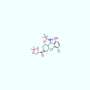 CC1(C)OC[C@H](C(=O)N2CCC([C@@H](N[S+]([O-])C(C)(C)C)c3c(O)ccc(Cl)c3Cl)CC2)O1